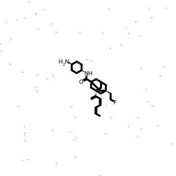 C=C(/C=C\C=C/C)[C@]12CC3CC(C(=O)N[C@H]4CC[C@H](N)CC4)(C[C@](CCF)(C3)C1)C2